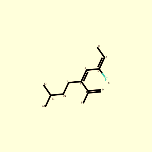 C=C(C)/C(=C\C(F)=C/C)CCC(C)C